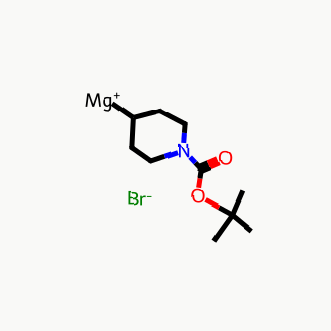 CC(C)(C)OC(=O)N1CC[CH]([Mg+])CC1.[Br-]